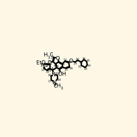 CCOC(=O)c1c(C)oc2c1c(C(c1ccncc1)N1CCN(C)CC1)c(O)c1ccc(OCCC3CCCCC3)cc12